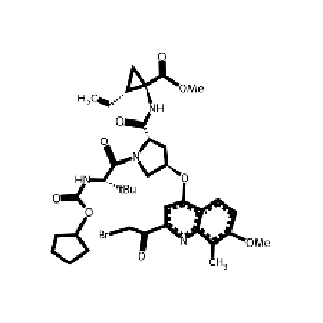 C=C[C@@H]1C[C@]1(NC(=O)[C@@H]1C[C@@H](Oc2cc(C(=O)CBr)nc3c(C)c(OC)ccc23)CN1C(=O)[C@@H](NC(=O)OC1CCCC1)C(C)(C)C)C(=O)OC